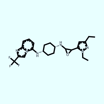 CCc1cc(C2OC2N[C@H]2CC[C@@H](Nc3cccc4nc(C(F)(F)F)cn34)CC2)n(CC)n1